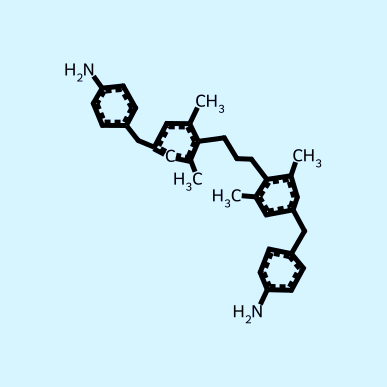 Cc1cc(Cc2ccc(N)cc2)cc(C)c1CCCc1c(C)cc(Cc2ccc(N)cc2)cc1C